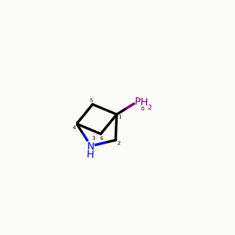 PC12CNC(C1)C2